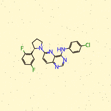 Fc1ccc(F)c([C@H]2CCCN2c2ccc3ncnc(Nc4ccc(Cl)cc4)c3n2)c1